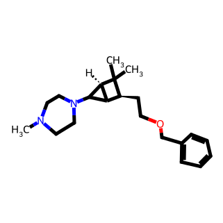 CN1CCN(C2C3[C@@H]2C(C)(C)[C@H]3CCOCc2ccccc2)CC1